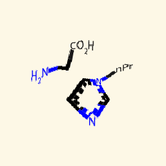 CCCn1ccnc1.NCC(=O)O